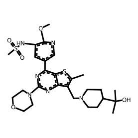 COc1ncc(-c2nc(N3CCOCC3)nc3c(CN4CCC(C(C)(C)O)CC4)c(C)sc23)cc1NS(C)(=O)=O